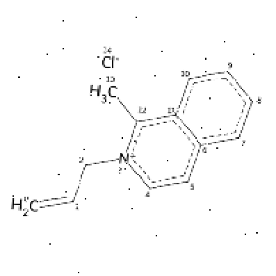 C=CC[n+]1ccc2ccccc2c1C.[Cl-]